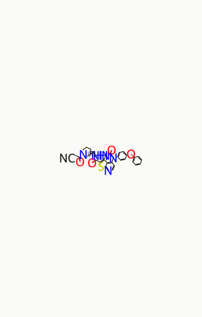 N#CCC(=O)N1CCC[C@@H](NC(=O)c2sc3nccc4c3c2NC(=O)N4c2ccc(Oc3ccccc3)cc2)C1